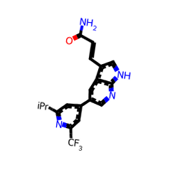 CC(C)c1cc(-c2cnc3[nH]cc(C=CC(N)=O)c3c2)cc(C(F)(F)F)n1